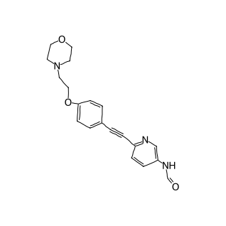 O=CNc1ccc(C#Cc2ccc(OCCN3CCOCC3)cc2)nc1